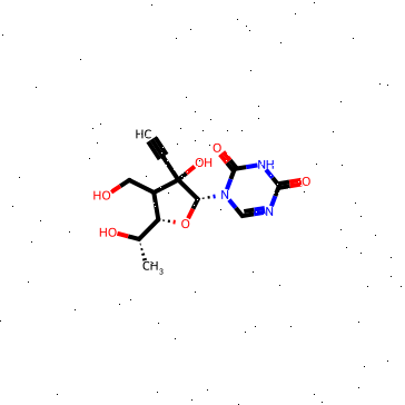 C#CC1(O)C(CO)[C@@H]([C@H](C)O)O[C@H]1n1cnc(=O)[nH]c1=O